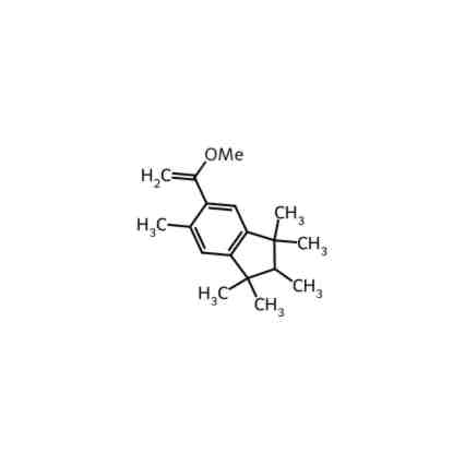 C=C(OC)c1cc2c(cc1C)C(C)(C)C(C)C2(C)C